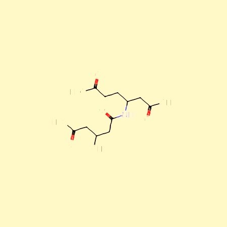 CC(=O)CCC(CC(C)=O)NC(=O)CC(C)CC(C)=O